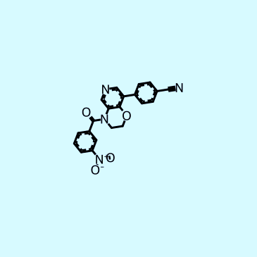 N#Cc1ccc(-c2cncc3c2OCCN3C(=O)c2cccc([N+](=O)[O-])c2)cc1